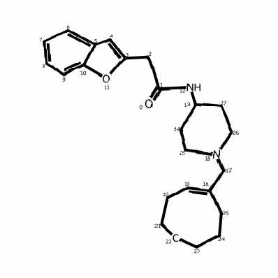 O=C(Cc1cc2ccccc2o1)NC1CCN(CC2=CCCCCCC2)CC1